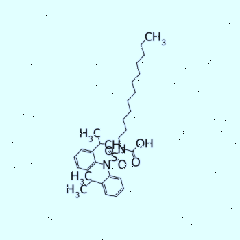 CCCCCCCCCCCCN(C(=O)O)S(=O)(=O)N(c1ccccc1C(C)C)c1ccccc1C(C)C